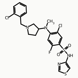 CN(c1cc(F)c(S(=O)(=O)Nc2cscn2)cc1Cl)C1CCN(Cc2ccccc2Cl)C1